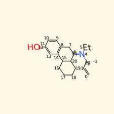 C=C[C@@H](C)N(CC)[C@@H]1Cc2ccc(O)cc2C2CCCCC21